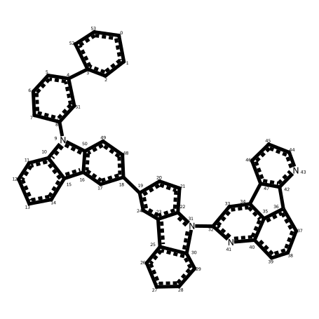 c1ccc(-c2cccc(-n3c4ccccc4c4cc(-c5ccc6c(c5)c5ccccc5n6-c5cc6c7c(cccc7n5)-c5ncccc5-6)ccc43)c2)cc1